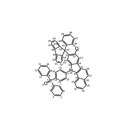 O=P(c1ccccc1)(c1ccccc1)c1ccc(-n2c3cc4c(cc3c3ccc5ccccc5c32)Oc2ccccc2C42c3ccccc3-c3ccccc32)cc1